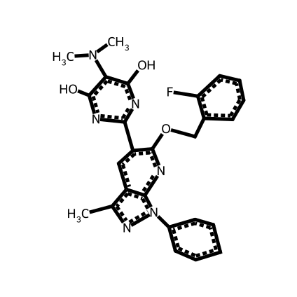 Cc1nn(-c2ccccc2)c2nc(OCc3ccccc3F)c(-c3nc(O)c(N(C)C)c(O)n3)cc12